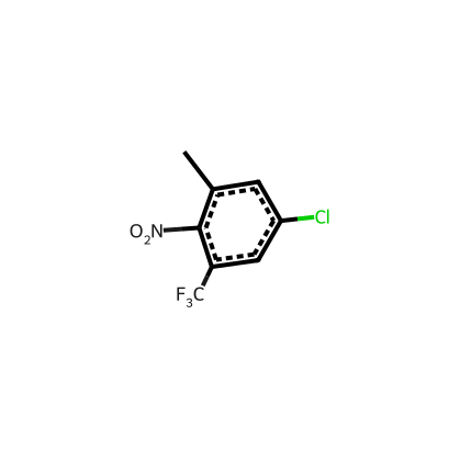 Cc1cc(Cl)cc(C(F)(F)F)c1[N+](=O)[O-]